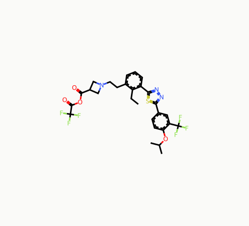 CCc1c(CCN2CC(C(=O)OC(=O)C(F)(F)F)C2)cccc1-c1nnc(-c2ccc(OC(C)C)c(C(F)(F)F)c2)s1